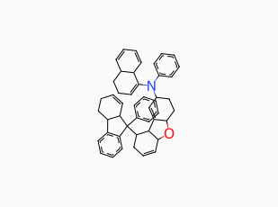 C1=CC2CCC=C(N(c3ccccc3)C3C=C4C(CC3)OC3C=CCC(C5(c6ccccc6)c6ccccc6C6CCC=CC65)C43)C2C=C1